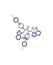 O=C(C(Cn1ncc2cccc([N+](=O)[O-])c21)N1CCN(c2ccc(F)cc2)CC1)C(Cn1ncc2cccc([N+](=O)[O-])c21)N1CCN(c2ccc(F)cc2)CC1